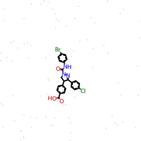 O=C(O)c1ccc(C2CN(C(=O)Nc3ccc(Br)cc3)N=C2c2ccc(Cl)cc2)cc1